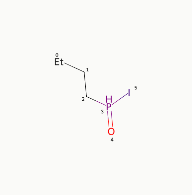 CCCC[PH](=O)I